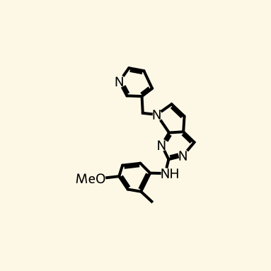 COc1ccc(Nc2ncc3ccn(Cc4cccnc4)c3n2)c(C)c1